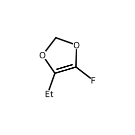 CCC1=C(F)OCO1